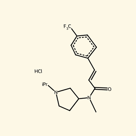 CC(C)N1CCC(N(C)C(=O)C=Cc2ccc(C(F)(F)F)cc2)C1.Cl